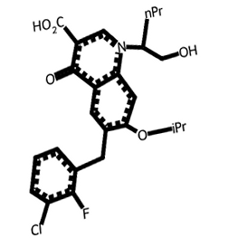 CCCC(CO)n1cc(C(=O)O)c(=O)c2cc(Cc3cccc(Cl)c3F)c(OC(C)C)cc21